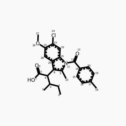 CCC(C)C(C(=O)O)c1c(C)n(C(=O)c2ccc(C)cc2)c2cc(Cl)c(OC)cc12